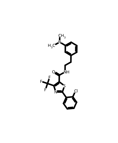 CN(C)c1cccc(CCNC(=O)c2sc(-c3ccccc3Cl)nc2C(F)(F)F)c1